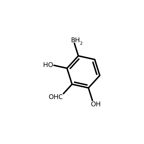 Bc1ccc(O)c(C=O)c1O